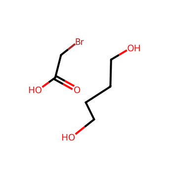 O=C(O)CBr.OCCCCO